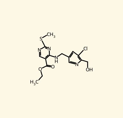 CCOC(=O)c1cnc(SC)nc1NCc1cnc(CO)c(Cl)c1